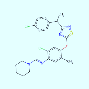 Cc1cc(N=CN2CCCCC2)c(Cl)cc1Oc1nc(C(C)c2ccc(Cl)cc2)ns1